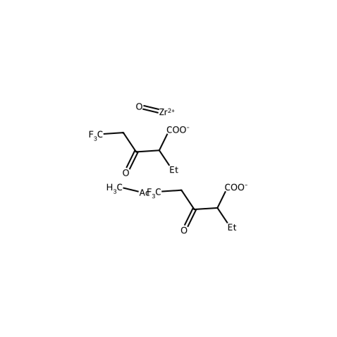 CC(C)=O.CCC(C(=O)[O-])C(=O)CC(F)(F)F.CCC(C(=O)[O-])C(=O)CC(F)(F)F.[O]=[Zr+2]